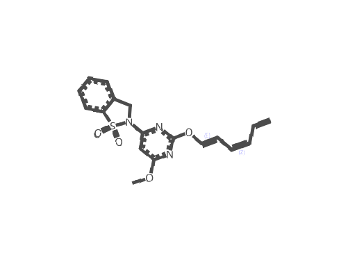 C=C/C=C\C=C\Oc1nc(OC)cc(N2Cc3ccccc3S2(=O)=O)n1